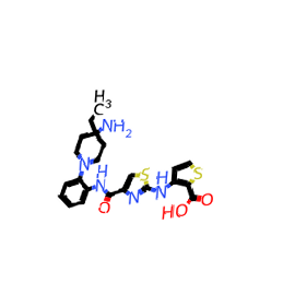 CCC1(N)CCN(c2ccccc2NC(=O)c2csc(Nc3ccsc3C(=O)O)n2)CC1